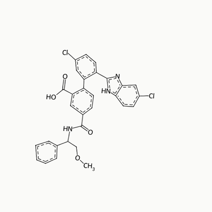 COCC(NC(=O)c1ccc(-c2cc(Cl)ccc2-c2nc3cc(Cl)ccc3[nH]2)c(C(=O)O)c1)c1ccccc1